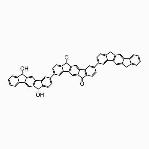 O=c1c2ccc(-c3ccc4c(c3)-c3cc5c(cc3C4)-c3ccccc3C5)cc2c2cc3c(=O)c4ccc(-c5ccc6c(c5)-c5cc7c(cc5C6O)-c5ccccc5C7O)cc4c3cc12